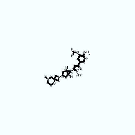 CC(C)n1nc(-c2cnc(N)c(OC(F)F)c2)cc1[C@H]1[C@@H]2C[C@@H](N3CC4(CN(C)CCO4)C3)C[C@@H]21